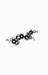 CC1(C)CCc2ncnc(N3CCOc4ccc(-c5cnc(N)c(S(=O)(=O)N6CC[C@@H](O)C6)c5)cc4C3)c2C1